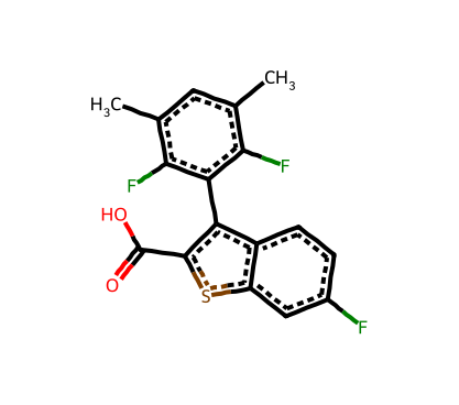 Cc1cc(C)c(F)c(-c2c(C(=O)O)sc3cc(F)ccc23)c1F